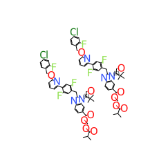 CC(C)C(=O)OCOC(=O)c1ccc2nc(Cc3cc(F)c(-c4cccc(OCc5ccc(Cl)cc5F)n4)cc3F)n([C@@H]3COCC3(C)C)c2c1.CC(C)C(=O)OCOC(=O)c1ccc2nc(Cc3cc(F)c(-c4cccc(OCc5ccc(Cl)cc5F)n4)cc3F)n([C@@H]3COCC3(C)C)c2c1